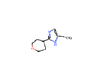 O=Cc1cnc(C2CCOCC2)[nH]1